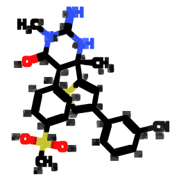 CN1C(=N)N[C@](C)(c2cc(-c3cccc(C#N)c3)cs2)[C@@H](c2ccc(S(C)(=O)=O)cc2)C1=O